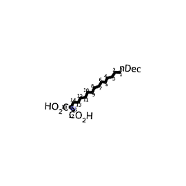 CCCCCCCCCCCCCCCCCCCCCCCC/C(=C/C(=O)O)C(=O)O